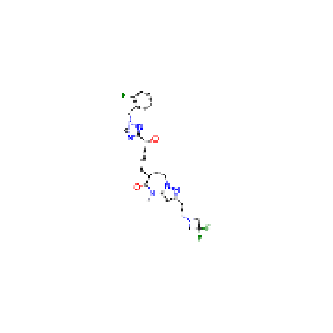 CN1C(=O)[C@@H](CC#CC(=O)c2ncn(Cc3ccccc3F)n2)CCn2nc(CCN3CC(F)(F)C3)cc21